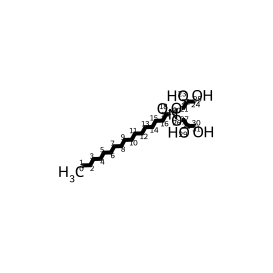 CCCCCCCCCCCCCCCCCC(=O)N(OCC(O)CO)OCC(O)CO